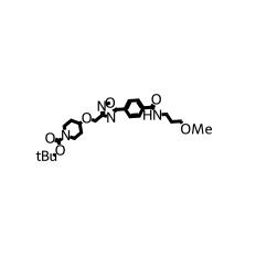 COCCCNC(=O)c1ccc(-c2nc(COC3CCN(C(=O)OC(C)(C)C)CC3)no2)cc1